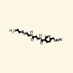 [N-]=[N+]=NCC1CC=C(C(=O)NCCC(=O)NCCSSCCN)C=N1